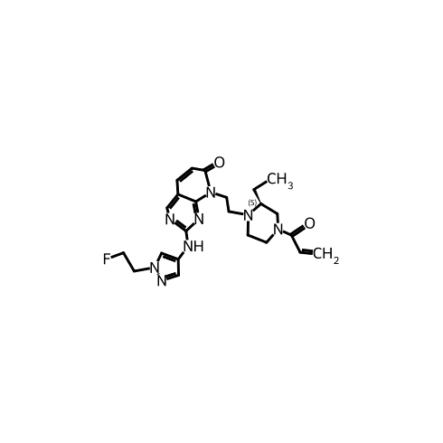 C=CC(=O)N1CCN(CCn2c(=O)ccc3cnc(Nc4cnn(CCF)c4)nc32)[C@@H](CC)C1